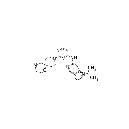 CC(C)n1cnc2cnc(Nc3ccnc(N4CCC5(CC4)CNCCO5)n3)cc21